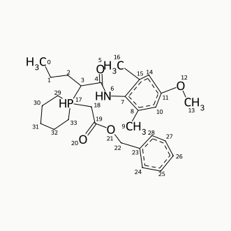 CCCC(C(=O)Nc1c(C)cc(OC)cc1C)[PH]1(CC(=O)OCc2ccccc2)CCCCC1